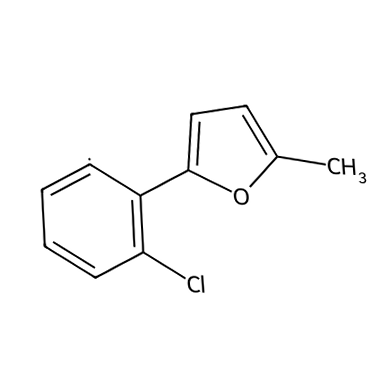 Cc1ccc(-c2[c]cccc2Cl)o1